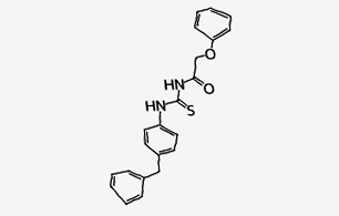 O=C(COc1ccccc1)NC(=S)Nc1ccc(Cc2ccccc2)cc1